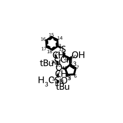 CC(C)(C)[Si](C)(C)OC1CC=C(C(O)CSc2ccccc2)C1O[Si](C)(C)C(C)(C)C